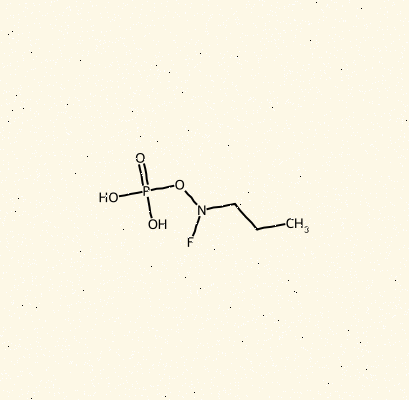 CCCN(F)OP(=O)(O)O